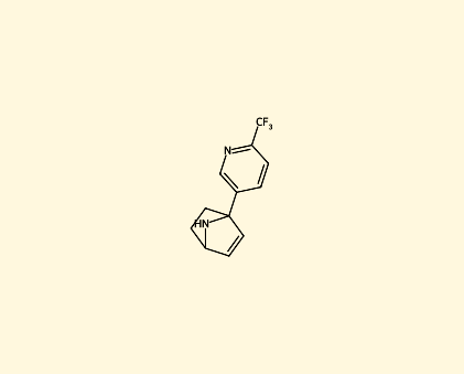 FC(F)(F)c1ccc(C23C=CC(CC2)N3)cn1